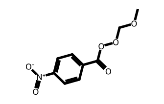 COCOOC(=O)c1ccc([N+](=O)[O-])cc1